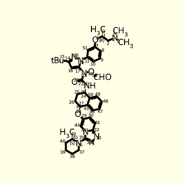 C[C@H](CN(C)C)Oc1cccc(-n2nc(C(C)(C)C)cc2N(OC=O)C(=O)N[C@H]2CC[C@@H](Oc3ccc4nnc(N5CCCC[C@@H]5C)n4c3)c3ccccc32)c1